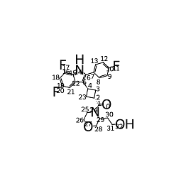 O=C([C@H]1C[C@H](c2c(-c3ccc(F)cc3)[nH]c3c(F)cc(F)cc32)C1)N1CCOCC1CCO